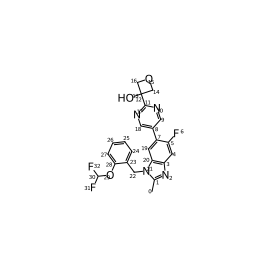 Cc1nc2cc(F)c(-c3cnc(C4(O)COC4)nc3)cc2n1Cc1ccccc1OC(F)F